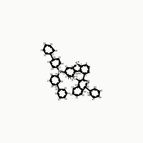 Cc1c(-c2cccc3sc4cc(N(c5ccc(-c6ccccc6)cc5)c5cccc(-c6ccccc6)c5)ccc4c23)nc(-c2ccccc2)c2ccccc12